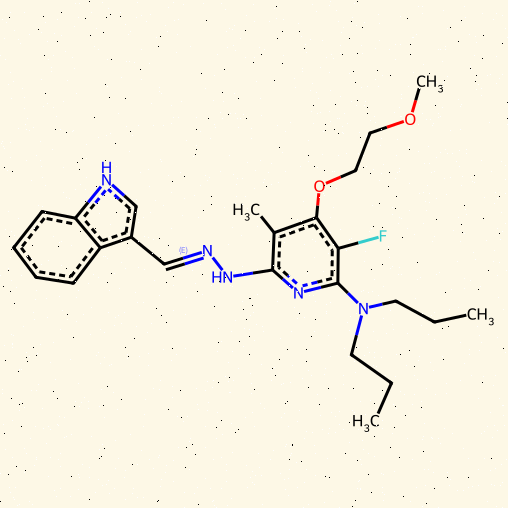 CCCN(CCC)c1nc(N/N=C/c2c[nH]c3ccccc23)c(C)c(OCCOC)c1F